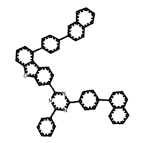 c1ccc(-c2nc(-c3ccc(-c4cccc5ccccc45)cc3)nc(-c3ccc4c(c3)oc3cccc(-c5ccc(-c6ccc7ccccc7c6)cc5)c34)n2)cc1